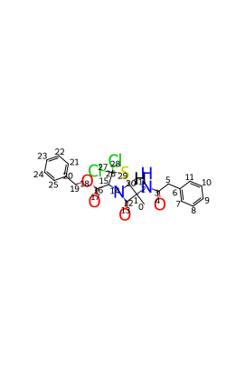 CC1(NC(=O)Cc2ccccc2)C(=O)N2C(C(=O)OCc3ccccc3)C(Cl)(Cl)S[C@H]21